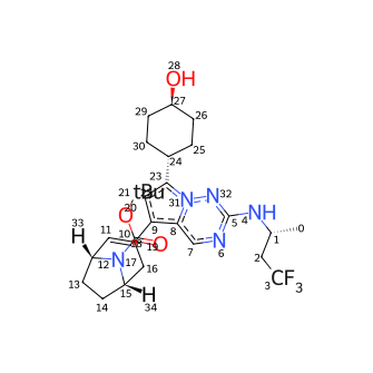 C[C@H](CC(F)(F)F)Nc1ncc2c(C3=C[C@H]4CC[C@@H](C3)N4C(=O)OC(C)(C)C)cc([C@H]3CC[C@H](O)CC3)n2n1